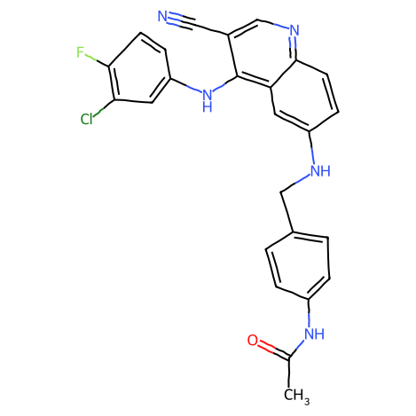 CC(=O)Nc1ccc(CNc2ccc3ncc(C#N)c(Nc4ccc(F)c(Cl)c4)c3c2)cc1